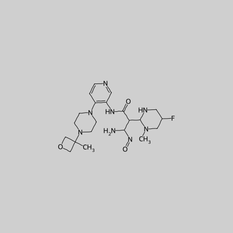 CN1CC(F)CNC1C(C(=O)Nc1cnccc1N1CCN(C2(C)COC2)CC1)C(N)N=O